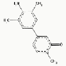 Cc1cc(-c2ccn(C)c(=O)c2)cc(C)c1N